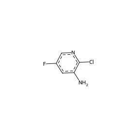 Nc1cc(F)cnc1Cl